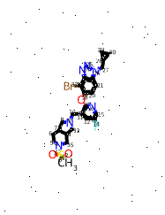 CS(=O)(=O)N1CCC2CN(Cc3cc(F)cnc3Oc3ccc4c(nnn4CC4CC4)c3Br)CC2C1